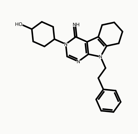 N=c1c2c3c(n(CCc4ccccc4)c2ncn1C1CCC(O)CC1)CCCC3